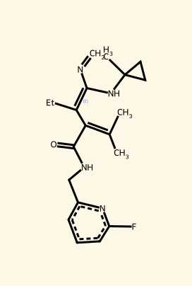 C=N/C(NC1(C)CC1)=C(\CC)C(C(=O)NCc1cccc(F)n1)=C(C)C